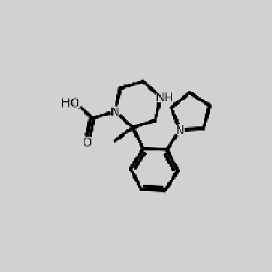 CC1(c2ccccc2N2CCCC2)CNCCN1C(=O)O